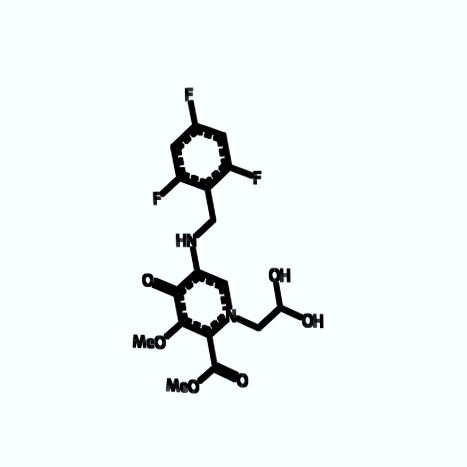 COC(=O)c1c(OC)c(=O)c(NCc2c(F)cc(F)cc2F)cn1CC(O)O